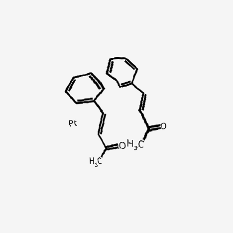 CC(=O)C=Cc1ccccc1.CC(=O)C=Cc1ccccc1.[Pt]